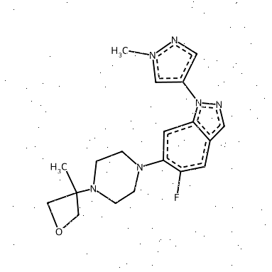 Cn1cc(-n2ncc3cc(F)c(N4CCN(C5(C)COC5)CC4)cc32)cn1